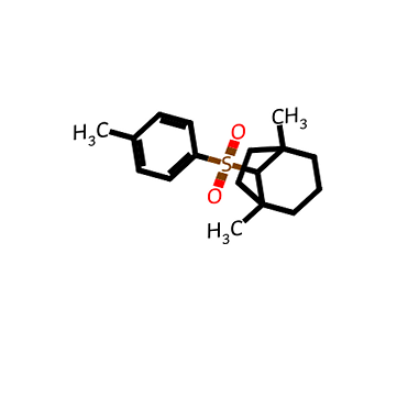 Cc1ccc(S(=O)(=O)C2C3(C)CCCC2(C)CC3)cc1